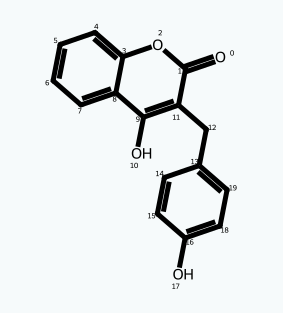 O=c1oc2ccccc2c(O)c1Cc1ccc(O)cc1